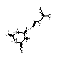 C=COC(=O)O.O=c1[nH]c(=O)[nH]c(=O)[nH]1